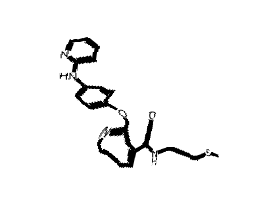 CSCCNC(=O)c1cccnc1Oc1ccc(Nc2ccccn2)cc1